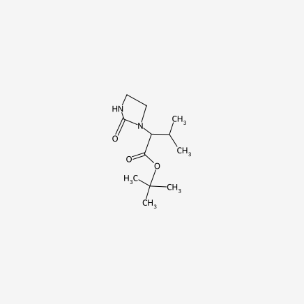 CC(C)C(C(=O)OC(C)(C)C)N1CCNC1=O